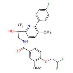 COc1cc(C(=O)NCC(O)(c2ccc(OC)c(-c3ccc(F)cc3)n2)C(F)(F)F)ccc1OCC(F)F